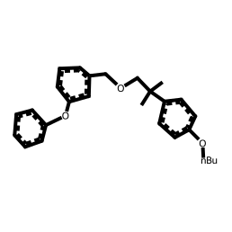 CCCCOc1ccc(C(C)(C)COCc2cccc(Oc3ccccc3)c2)cc1